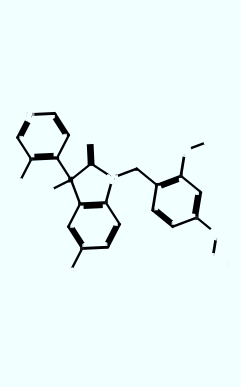 COc1ccc(CN2C(=O)C(O)(c3ccncc3Cl)c3cc(Cl)ccc32)c(OC)c1